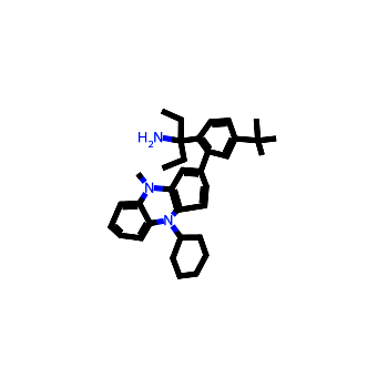 CCC(N)(CC)c1ccc(C(C)(C)C)cc1-c1ccc2c(c1)N(C)c1ccccc1N2C1CCCCC1